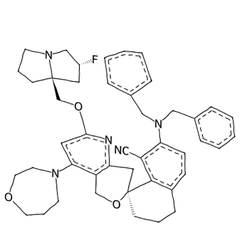 N#Cc1c(N(Cc2ccccc2)Cc2ccccc2)ccc2c1[C@]1(CCC2)Cc2nc(OC[C@@]34CCCN3C[C@H](F)C4)cc(N3CCCOCC3)c2CO1